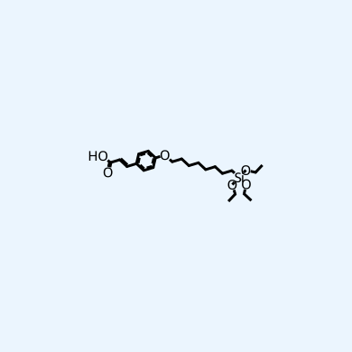 CCO[Si](CCCCCCCCOc1ccc(/C=C/C(=O)O)cc1)(OCC)OCC